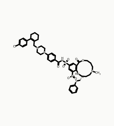 CN1CCCOC(=O)c2cc(S(=O)(=O)NC(=O)c3ccc(N4CCN(CC5=C(c6ccc(Cl)cc6)CCCC5)CC4)cc3)cc([N+](=O)[O-])c2N[C@@H](CSc2ccccc2)CC1